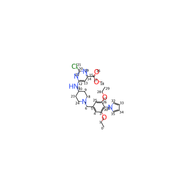 CCOc1cc(CN2CCC(Nc3cc(C(=O)OC)nc(Cl)n3)CC2)cc(OCC)c1-n1cccc1